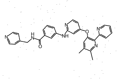 Cc1cc(Oc2ccnc(Nc3cccc(C(=O)NCc4ccncc4)c3)c2)c(-c2ccccn2)nc1C